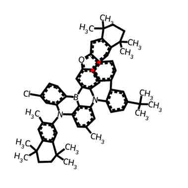 Cc1cc2c3c(c1)N(c1ccc(C(C)(C)C)cc1-c1ccccc1)c1cc4c(cc1B3c1ccc(Cl)cc1N2c1cc2c(cc1C)C(C)(C)CCC2(C)C)oc1cc2c(cc14)C(C)(C)CCC2(C)C